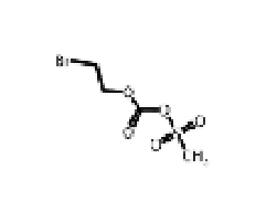 CS(=O)(=O)OC(=O)OCCBr